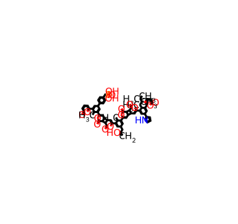 C=C(O)CC1C=C(C2=CC3C4C=C(C5=CC(c6ccc(CP(=O)(O)O)cc6)C=C(c6cccc(=O)o6)C5C)OC(=O)C4C3C(=O)O2)C(C)C(C2=CC3C4C=C(C5=CC(c6ccc[nH]6)C=C(c6cccc(=O)o6)C5C(C)C(C)C(C)C)OC(=O)C4C3C(=O)O2)=C1